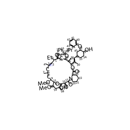 CCC1/C=C(\C)CC(C)CC(OC)C2OC(O)(C(=O)C(=O)N3CCCCC3C(=O)OC(C(C)=CC3CCC(O)C(Oc4ccccc4)C3)C(C)C(O[Si](C(C)C)(C(C)C)C(C)C)CC1=O)C(C)CC2OC